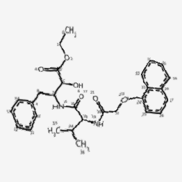 CCOC(=O)[C@@H](O)[C@H](Cc1ccccc1)NC(=O)[C@@H](NC(=O)COc1cccc2ccccc12)C(C)C